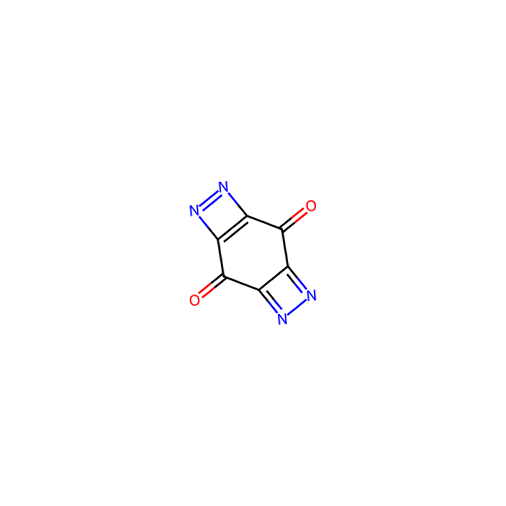 O=c1c2nnc2c(=O)c2nnc12